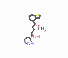 COC(CCCC(O)[C@@H]1CCCNC1)c1cccc2sccc12